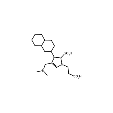 CN(C)CC1=CN(CCC(=O)O)C(S(=O)(=O)O)N1C1CCC2CCCCC2C1